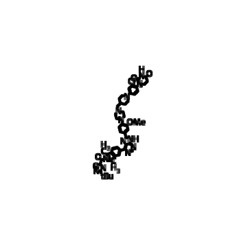 COc1cc(-c2nc3c(-c4ccc([C@@H](C)NC(=O)c5nc(C(C)(C)C)no5)c(C)c4)ncnc3[nH]2)ccc1N1CCN(CC2CCN(c3ccc(N4CCC(=O)NC4=O)c(C)c3)CC2)CC1